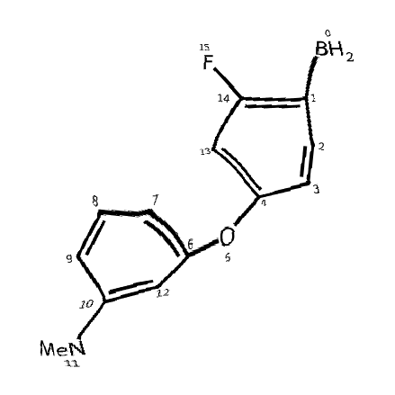 Bc1ccc(Oc2cccc(NC)c2)cc1F